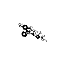 COc1ccc2c(=O)n(C)c(NC(=O)C[C@@H]3C[C@H](C(C)=O)C3(C)C)c(-c3ccccc3)c2c1